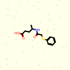 CC(CCC(=O)O)NC(=O)CSc1ccccc1